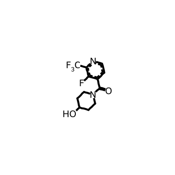 O=C(c1ccnc(C(F)(F)F)c1F)N1CCC(O)CC1